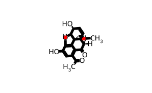 CC(=O)c1cc(O)c2c3c1C(=O)[C@@H]1[C@@H]4C=C[C@H](O)[C@H](O2)[C@]34CCN1C